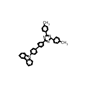 Cc1ccc(-c2nc(-c3ccc(C)cc3)nc(-c3ccc(-c4ccc(-n5c6ccccc6c6ccccc65)cc4)cc3)n2)cc1